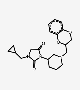 O=C1CN(CC2CC2)C(=O)N1C1CCCN(CC2COc3ccccc3O2)C1